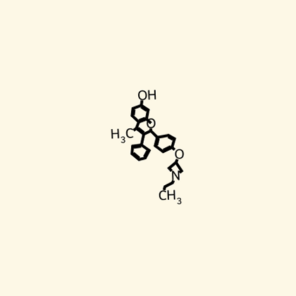 CCCN1CC(Oc2ccc(C3Oc4cc(O)ccc4C(C)=C3c3ccccc3)cc2)C1